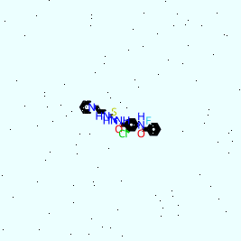 O=C(Nc1ccc(C(=O)NNC(=S)NCCCN2CCCCC2)c(Cl)c1)c1ccccc1F